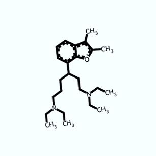 CCN(CC)CCCC(CCN(CC)CC)c1cccc2c(C)c(C)oc12